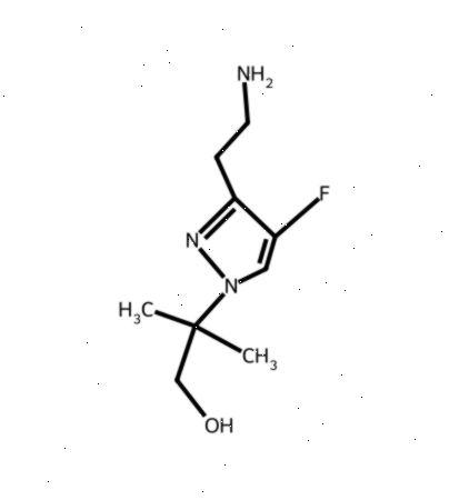 CC(C)(CO)n1cc(F)c(CCN)n1